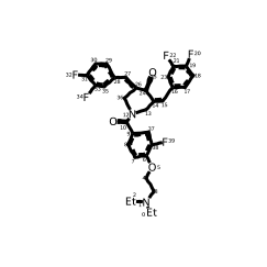 CCN(CC)CCOc1ccc(C(=O)N2C/C(=C/c3ccc(F)c(F)c3)C(=O)/C(=C/c3ccc(F)c(F)c3)C2)cc1F